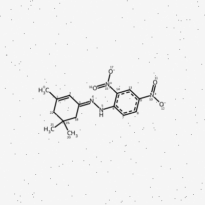 CC1=CC(=NNc2ccc([N+](=O)[O-])cc2[N+](=O)[O-])CC(C)(C)C1